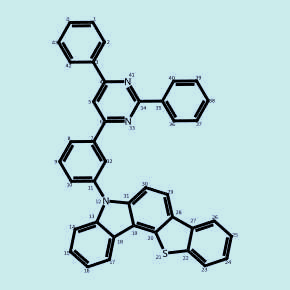 c1ccc(-c2cc(-c3cccc(-n4c5ccccc5c5c6sc7ccccc7c6ccc54)c3)nc(-c3ccccc3)n2)cc1